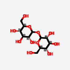 OC[C@H]1OC(OC2O[C@H](CO)[C@@H](O)[C@H](O)[C@H]2O)[C@H](O)[C@@H](O)[C@@H]1O